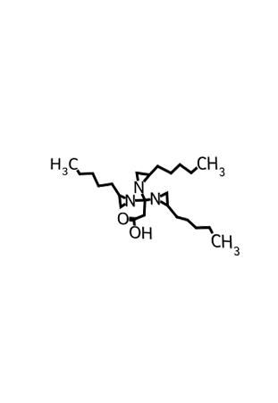 CCCCCC1CN1C(CC(=O)O)(N1CC1CCCCC)N1CC1CCCCC